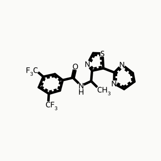 CC(NC(=O)c1cc(C(F)(F)F)cc(C(F)(F)F)c1)c1ncsc1-c1ncccn1